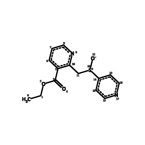 CCOC(=O)c1cccnc1C[S+]([O-])c1ccncc1